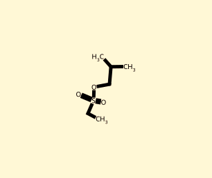 CCS(=O)(=O)OCC(C)C